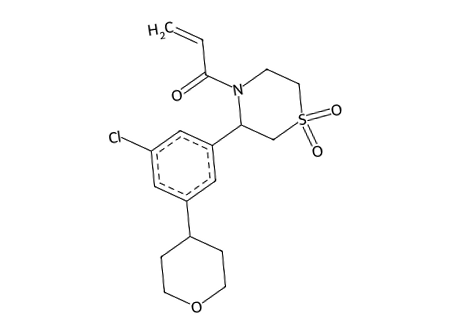 C=CC(=O)N1CCS(=O)(=O)CC1c1cc(Cl)cc(C2CCOCC2)c1